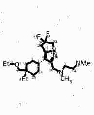 CCOC[C@]1(CC)CC[C@H](c2c(CN(C)CCNC)nn3c2CC(F)(F)C3)CC1